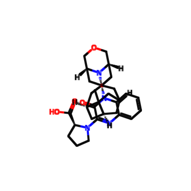 CC12C[C@H]3C[C@@H](N4[C@@H]5COC[C@H]4C[C@@H](n4c(=O)c(N6CCC[C@H]6C(=O)O)nc6ccccc64)C5)C[C@@H]1C[C@@H]2C3